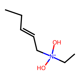 CCC=CC[N+](O)(O)CC